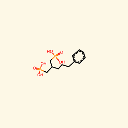 O=P(O)(O)CC(CCCc1ccccc1)CP(=O)(O)O